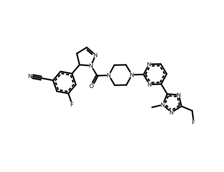 Cn1nc(CF)nc1-c1ccnc(N2CCN(C(=O)N3N=CCC3c3cc(F)cc(C#N)c3)CC2)n1